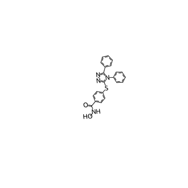 O=C(NO)c1ccc(Sc2nnc(-c3ccccc3)n2-c2ccccc2)cc1